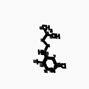 C[C@@H](O)CCNc1cc(Cl)ncc1I